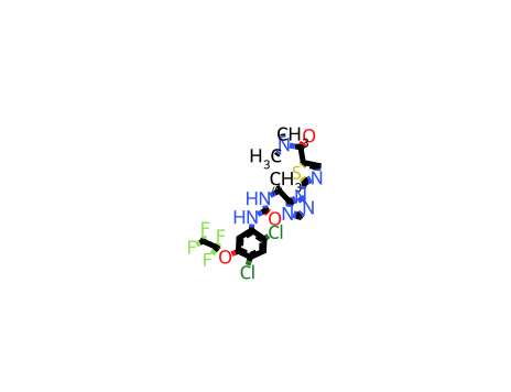 C[C@H](NC(=O)Nc1cc(OC(F)(F)C(F)F)c(Cl)cc1Cl)c1ncnn1-c1ncc(C(=O)N(C)C)s1